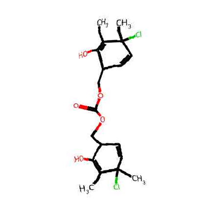 CC1=C(O)C(COC(=O)OCC2C=CC(C)(Cl)C(C)=C2O)C=CC1(C)Cl